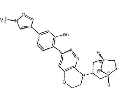 Cn1cc(-c2ccc(-c3cc4c(nn3)N(C3C[C@H]5CC[C@@H](C3)N5)CCO4)c(O)c2)cn1